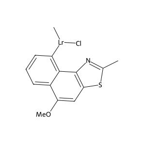 COc1cc2sc(C)nc2c2[c]([Lr]([CH3])[Cl])cccc12